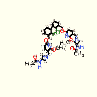 COc1nc(OCc2cccc(-c3cccc(COc4ccc(CN5CC(NC(C)=O)C5)c(OC)n4)c3Cl)c2Cl)ccc1CN1CC(NC(C)=O)C1